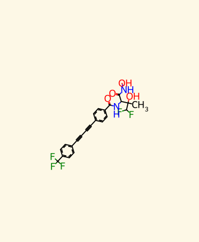 CC(O)(C(F)F)C(NC(=O)c1ccc(C#CC#Cc2ccc(C(F)(F)F)cc2)cc1)C(=O)NO